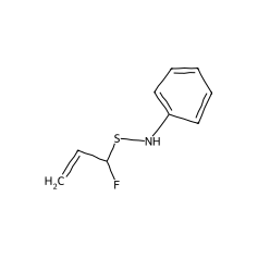 C=CC(F)SNc1ccccc1